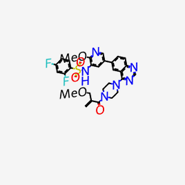 C=C(COC)C(=O)N1CCN(c2ncnc3ccc(-c4cnc(OC)c(NS(=O)(=O)c5ccc(F)cc5F)c4)cc23)CC1